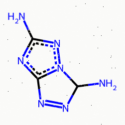 Nc1nc2n(n1)C(N)N=N2